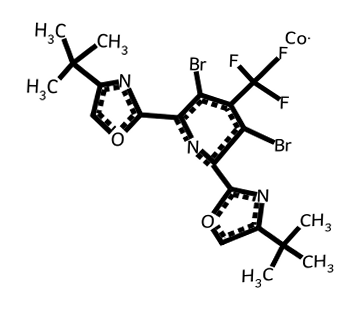 CC(C)(C)c1coc(-c2nc(-c3nc(C(C)(C)C)co3)c(Br)c(C(F)(F)F)c2Br)n1.[Co]